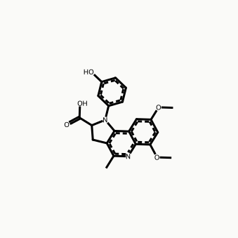 COc1cc(OC)c2nc(C)c3c(c2c1)N(c1cccc(O)c1)C(C(=O)O)C3